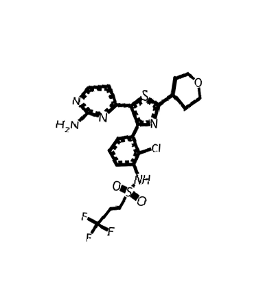 Nc1nccc(-c2sc(C3CCOCC3)nc2-c2cccc(NS(=O)(=O)CCC(F)(F)F)c2Cl)n1